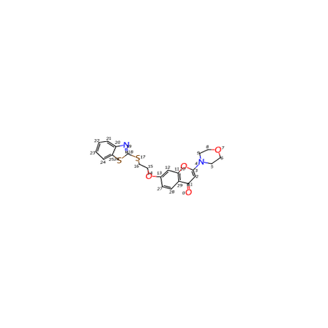 O=c1cc(N2CCOCC2)oc2cc(OCCSc3nc4ccccc4s3)ccc12